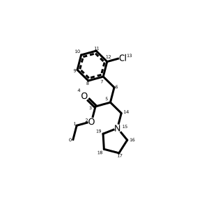 CCOC(=O)C(Cc1ccccc1Cl)CN1CCCC1